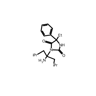 CCC1(c2ccccc2)NC(=O)N(C(N)(CC(C)C)CC(C)C)C1=O